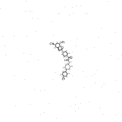 [C-]#[N+]c1cc(C(C)C)c2oc(-c3ccc(C(=O)NCC4CCC(c5ccc(Cl)cc5)CC4)cc3)nc2c1